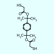 CC(C)(OC(=O)CS)c1ccc(C(C)(C)OC(=O)CS)cc1